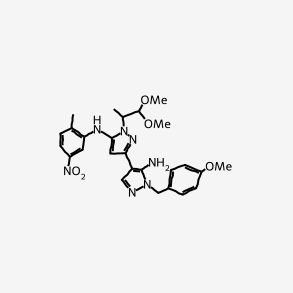 COc1ccc(Cn2ncc(-c3cc(Nc4cc([N+](=O)[O-])ccc4C)n(C(C)C(OC)OC)n3)c2N)cc1